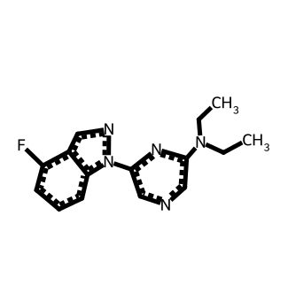 CCN(CC)c1cncc(-n2ncc3c(F)cccc32)n1